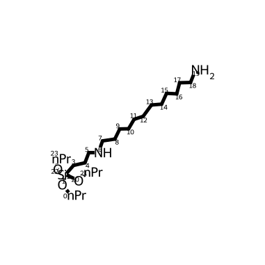 CCCO[Si](CCCNCCCCCCCCCCCCN)(OCCC)OCCC